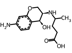 CC(CCC(=O)O)N[C@@H]1COc2cc(N)ccc2[C@@H]1O